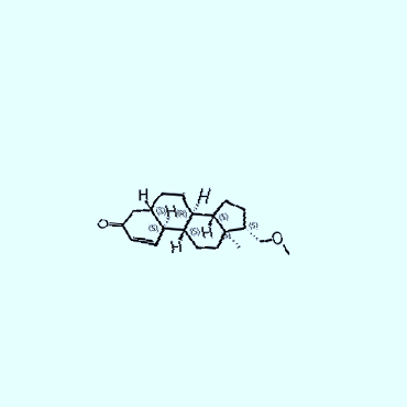 COC[C@H]1CC[C@H]2[C@@H]3CC[C@H]4CC(=O)C=C[C@@H]4[C@H]3CC[C@]12C